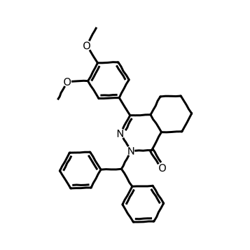 COc1ccc(C2=NN(C(c3ccccc3)c3ccccc3)C(=O)C3CCCCC23)cc1OC